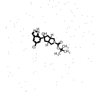 CC(C)(C)OC(=O)N1C[C@@H]2CC(O)(c3cc(Cl)cc4cn[nH]c34)C[C@@H]2C1